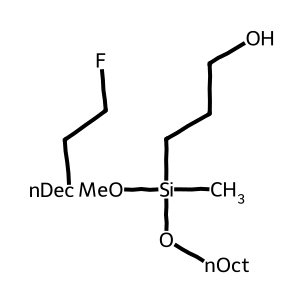 CCCCCCCCCCCCF.CCCCCCCCO[Si](C)(CCCO)OC